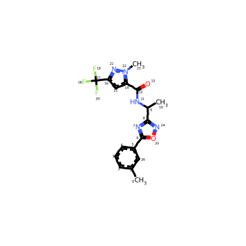 Cc1cccc(-c2nc(C(C)NC(=O)c3cc(C(F)(F)F)nn3C)no2)c1